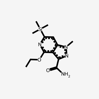 CCOc1nc([Si](C)(C)C)cc2c1c(C(N)=O)nn2C